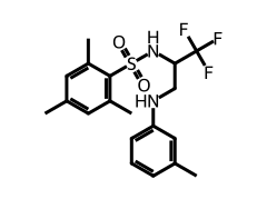 Cc1cccc(NCC(NS(=O)(=O)c2c(C)cc(C)cc2C)C(F)(F)F)c1